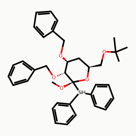 CO[C@]1([SiH](c2ccccc2)c2ccccc2)O[C@H](COC(C)(C)C)C[C@H](OCc2ccccc2)[C@H]1OCc1ccccc1